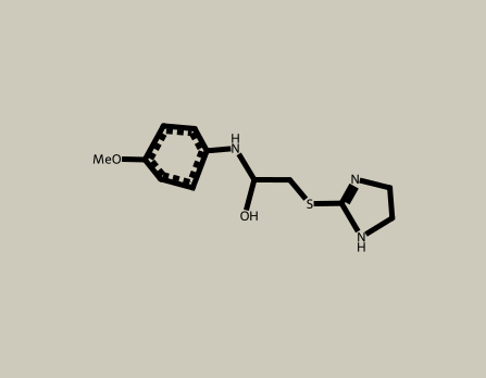 COc1ccc(NC(O)CSC2=NCCN2)cc1